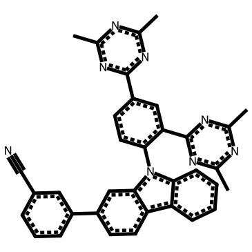 Cc1nc(C)nc(-c2ccc(-n3c4ccccc4c4ccc(-c5cccc(C#N)c5)cc43)c(-c3nc(C)nc(C)n3)c2)n1